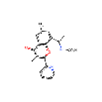 Cc1c(-c2ccccn2)oc2c(C(C)NC(=O)O)cc(C(F)(F)F)cc2c1=O